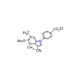 CCOC(=O)c1ccc(-n2cc(C#N)c3c(C)c(OC)c(C)cc32)cc1